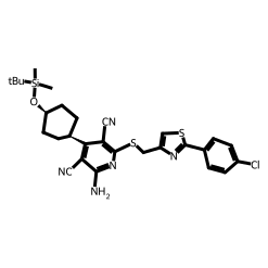 CC(C)(C)[Si](C)(C)O[C@H]1CC[C@@H](c2c(C#N)c(N)nc(SCc3csc(-c4ccc(Cl)cc4)n3)c2C#N)CC1